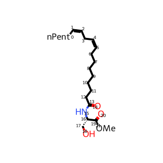 CCCCC/C=C\C/C=C\CCCCCCCC(=O)N[C@@H](CO)C(=O)OC